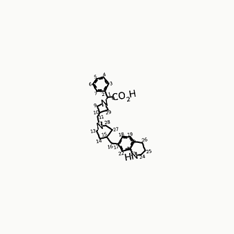 O=C(O)C(c1ccccc1)N1CC(CN2CCC(Cc3ccc4c(c3)NCCC4)CC2)C1